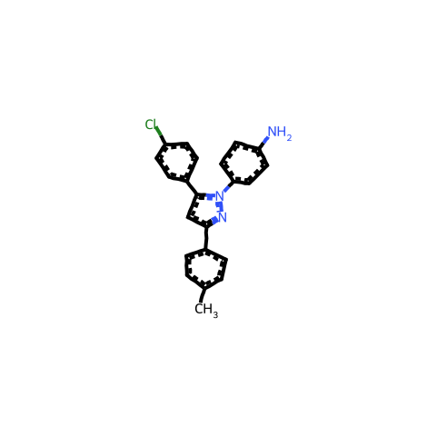 Cc1ccc(-c2cc(-c3ccc(Cl)cc3)n(-c3ccc(N)cc3)n2)cc1